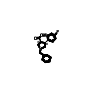 COC(=O)[C@@H]1CN(Cc2ccccc2)C[C@H]1c1ccc(F)cc1